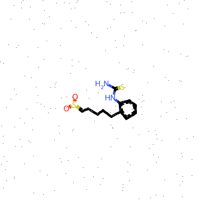 NC(=S)Nc1ccccc1CCCCC=S(=O)=O